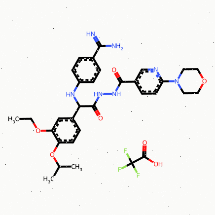 CCOc1cc(C(Nc2ccc(C(=N)N)cc2)C(=O)NNC(=O)c2ccc(N3CCOCC3)nc2)ccc1OC(C)C.O=C(O)C(F)(F)F